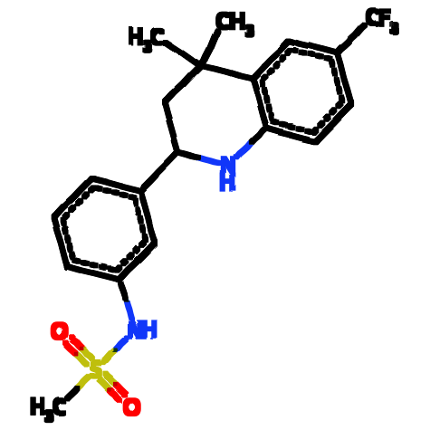 CC1(C)CC(c2cccc(NS(C)(=O)=O)c2)Nc2ccc(C(F)(F)F)cc21